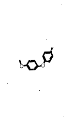 [CH2]c1ccc(Oc2ccc(OC)cc2)cc1